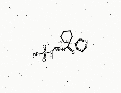 CCCS(=O)(=O)NCC[C@@H]1CCCC[C@]1(C(=S)NC)c1cccnc1